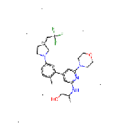 Cc1ccc(N2CC[C@@H](CC(F)(F)F)C2)cc1-c1cc(NC(C)CO)nc(N2CCOCC2)c1